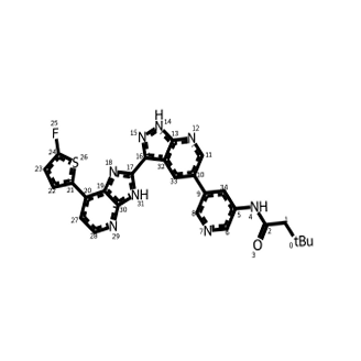 CC(C)(C)CC(=O)Nc1cncc(-c2cnc3[nH]nc(-c4nc5c(-c6ccc(F)s6)ccnc5[nH]4)c3c2)c1